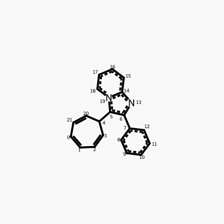 C1=CC=CC(c2c(-c3ccccc3)nc3ccccn23)C=C1